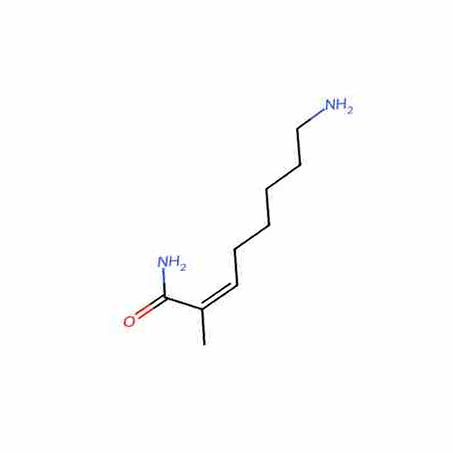 CC(=CCCCCCN)C(N)=O